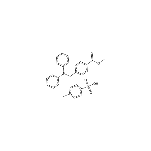 COC(=O)c1ccc(CP(c2ccccc2)c2ccccc2)cc1.Cc1ccc(S(=O)(=O)O)cc1